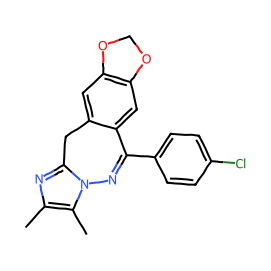 Cc1nc2n(c1C)N=C(c1ccc(Cl)cc1)c1cc3c(cc1C2)OCO3